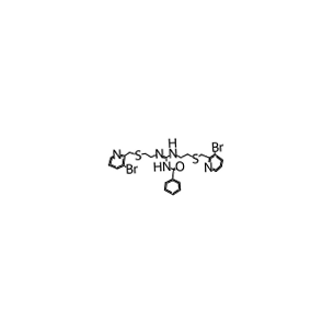 O=C(N/C(=N\CCSCc1ncccc1Br)NCCSCc1ncccc1Br)c1ccccc1